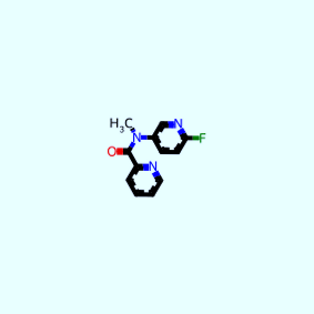 CN(C(=O)c1ccccn1)c1ccc(F)nc1